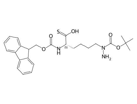 CC(C)(C)OC(=O)N(N)CCCC[C@H](NC(=O)OCC1c2ccccc2-c2ccccc21)C(O)=S